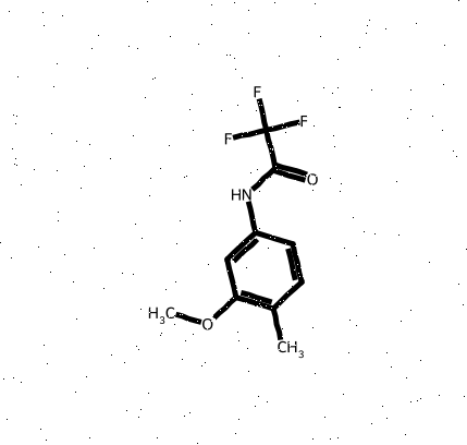 COc1cc(NC(=O)C(F)(F)F)ccc1C